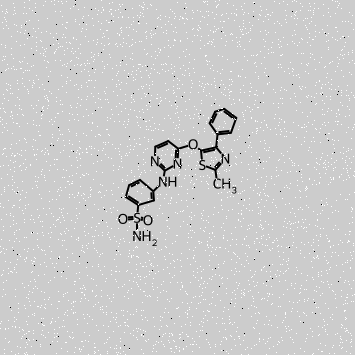 Cc1nc(-c2ccccc2)c(Oc2ccnc(Nc3cccc(S(N)(=O)=O)c3)n2)s1